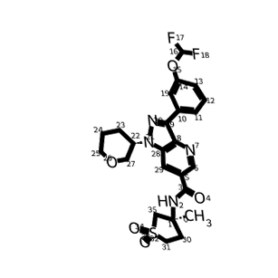 C[C@]1(NC(=O)c2cnc3c(-c4cccc(OC(F)F)c4)nn([C@H]4CCCOC4)c3c2)CCS(=O)(=O)C1